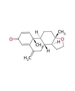 C=C1C[C@@H]2[C@H](CC[C@]3(C)OCC[C@@H]23)[C@@]2(C)C=CC(=O)C=C12